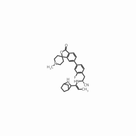 C/C=C(\N[C@H](C#N)Cc1ccc(-c2ccc3c(c2)C2(CCN(C)CC2)OC3=O)cc1F)C1NC2CCC1C2